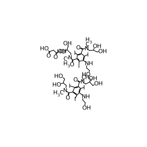 CN(CC(O)CO)C(=O)c1c(I)c(NCCO)c(I)c(C(=O)N(C)CC(O)CO)c1I.CN(CC(O)CO)C(=O)c1c(I)c(NCCO)c(I)c(C(=O)N(C)CC(O)CO)c1I.O=C(O)CC(=O)O